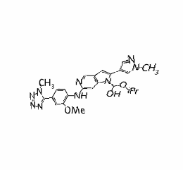 COc1cc(-c2nnnn2C)ccc1Nc1cc2c(cn1)cc(-c1cnn(C)c1)n2C(O)OC(C)C